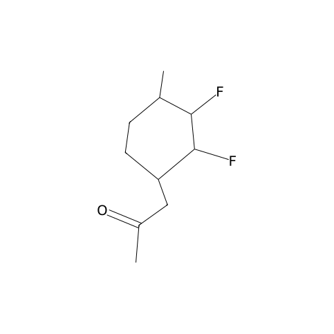 CC(=O)CC1CCC(C)C(F)C1F